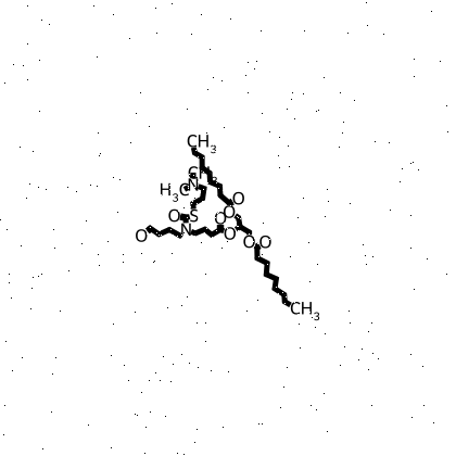 CCCCCCCCC(=O)OCC(COC(=O)CCCCCCCC)OC(=O)CCCN(CCCC=O)C(=O)SCCCN(C)C